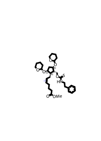 COC(=O)CCC/C=C\C[C@@H]1[C@@H](COC(=S)NCCc2ccccc2)[C@H](OC2CCCCO2)C[C@@H]1OC1CCCCO1